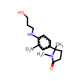 CN1C(=O)CCC1(C)c1ccc(NCCCO)c([N+](=O)[O-])c1